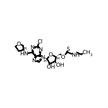 CCCNC(=S)OC[C@H]1O[C@@H](n2cnc3c(N[C@@H]4CCOC4)nc(Cl)nc32)[C@H](O)[C@@H]1O